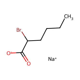 CCCCC(Br)C(=O)[O-].[Na+]